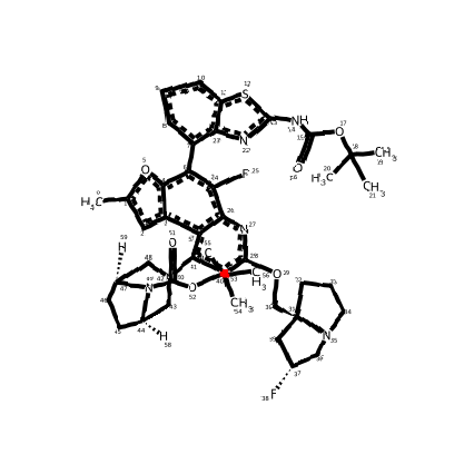 Cc1cc2c(o1)c(-c1cccc3sc(NC(=O)OC(C)(C)C)nc13)c(F)c1nc(OC[C@@]34CCCN3C[C@H](F)C4)nc(N3C[C@H]4CC[C@@H](C3)N4C(=O)OC(C)(C)C)c12